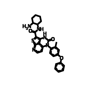 Cc1cc(Oc2ccccc2)ccc1N1C(=O)Nc2c(C(=O)NC3CCCCC3N)sc3nccc1c23